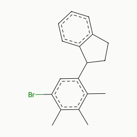 Cc1c(Br)cc(C2CCc3ccccc32)c(C)c1C